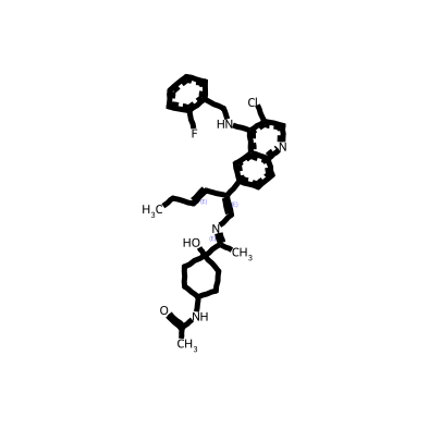 CC/C=C/C(=C\N=C(/C)C1(O)CCC(NC(C)=O)CC1)c1ccc2ncc(Cl)c(NCc3ccccc3F)c2c1